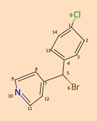 Clc1ccc(C(Br)c2ccncc2)cc1